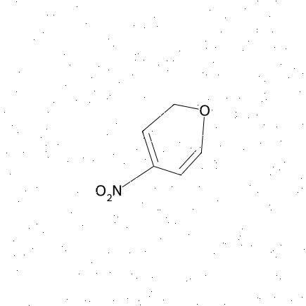 O=[N+]([O-])C1=CCOC=C1